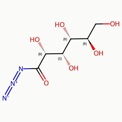 [N-]=[N+]=NC(=O)[C@H](O)[C@@H](O)[C@H](O)[C@H](O)CO